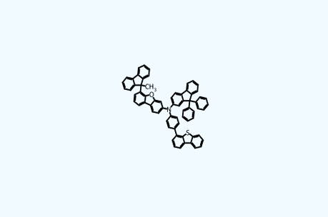 CC1(c2cccc3c2oc2cc(N(c4ccc(-c5cccc6c5sc5ccccc56)cc4)c4ccc5c(c4)C(c4ccccc4)(c4ccccc4)c4ccccc4-5)ccc23)c2ccccc2-c2ccccc21